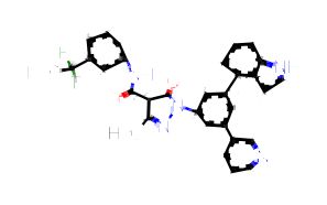 CC1=NN(c2cc(-c3cccnc3)cc(-c3cccc4[nH]ccc34)c2)C(=O)C1C(=O)Nc1cccc(C(C)(F)F)c1